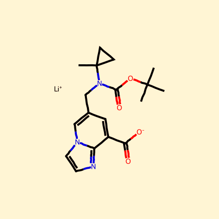 CC(C)(C)OC(=O)N(Cc1cc(C(=O)[O-])c2nccn2c1)C1(C)CC1.[Li+]